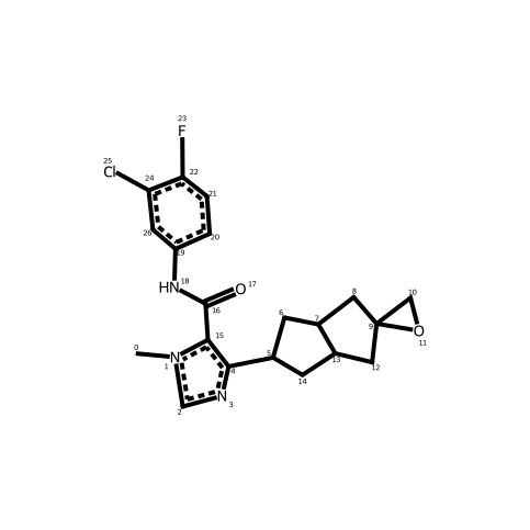 Cn1cnc(C2CC3CC4(CO4)CC3C2)c1C(=O)Nc1ccc(F)c(Cl)c1